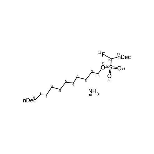 CCCCCCCCCCCCCCCCCCCCOS(=O)(=O)C(F)CCCCCCCCCC.N